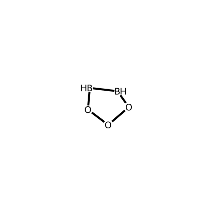 B1BOOO1